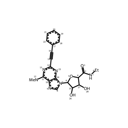 CCNC(=O)C1OC(n2cnc3c(NC)nc(C#Cc4ccccc4)nc32)C(O)C1O